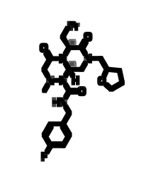 CC(C)C[C@H]1C(=O)N(CC2CCCO2)C[C@H]2N1C(=O)CN(C)N2C(=O)NCc1ccc(F)cc1